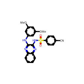 COc1cc(Nc2nc3ccccc3nc2NS(=O)(=O)c2ccc(C#N)cc2)cc(OC)c1